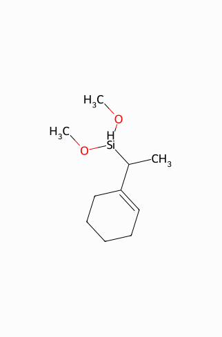 CO[SiH](OC)C(C)C1=CCCCC1